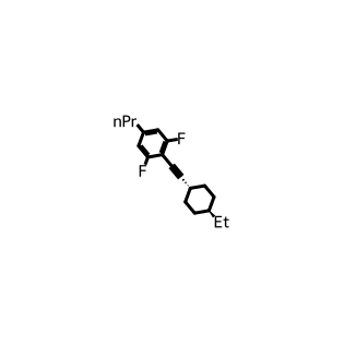 CCCc1cc(F)c(C#C[C@H]2CC[C@H](CC)CC2)c(F)c1